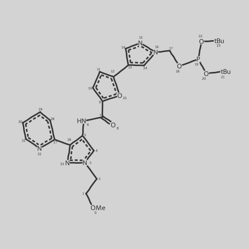 COCCn1cc(NC(=O)c2ccc(-c3cnn(COP(OC(C)(C)C)OC(C)(C)C)c3)o2)c(-c2ccccn2)n1